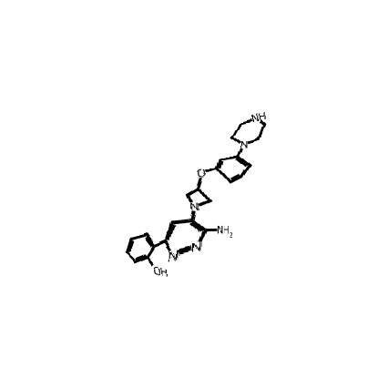 Nc1nnc(-c2ccccc2O)cc1N1CC(Oc2cccc(N3CCNCC3)c2)C1